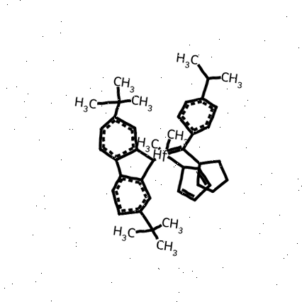 CC(C)c1ccc([C](C2CCCC2)=[Hf]([CH3])([CH3])([CH]2C=CC=C2)[CH]2c3cc(C(C)(C)C)ccc3-c3ccc(C(C)(C)C)cc32)cc1